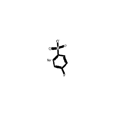 O=S(=O)([O-])c1ccc(F)cc1.[Na+]